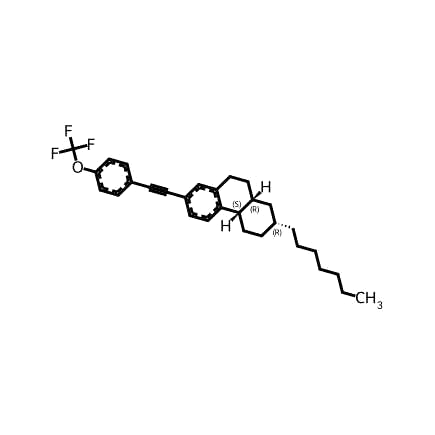 CCCCCCC[C@@H]1CC[C@@H]2c3ccc(C#Cc4ccc(OC(F)(F)F)cc4)cc3CC[C@@H]2C1